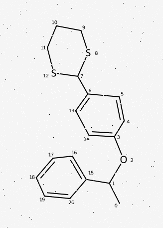 CC(Oc1ccc(C2SCCCS2)cc1)c1ccccc1